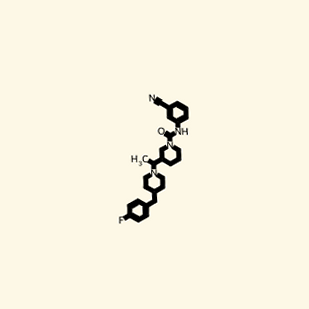 CC(C1CCCN(C(=O)Nc2cccc(C#N)c2)C1)N1CCC(Cc2ccc(F)cc2)CC1